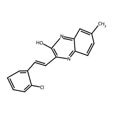 Cc1ccc2nc(/C=C/c3ccccc3Cl)c(O)nc2c1